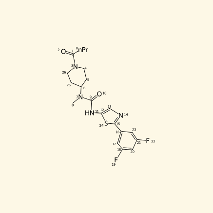 CCCC(=O)N1CCC(N(C)C(=O)Nc2cnc(-c3cc(F)cc(F)c3)s2)CC1